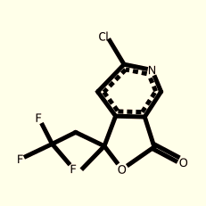 CC1(CC(F)(F)F)OC(=O)c2cnc(Cl)cc21